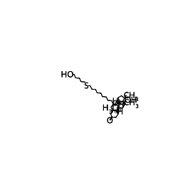 CC1(O)CC[C@H]2[C@@H]3C(CCCCCCCCCSCCCCCO)CC4=CC(=O)CC[C@]4(C)[C@@H]3CC[C@@]21C